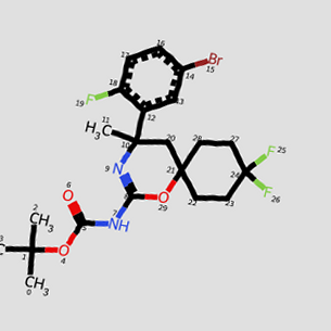 CC(C)(C)OC(=O)NC1=NC(C)(c2cc(Br)ccc2F)CC2(CCC(F)(F)CC2)O1